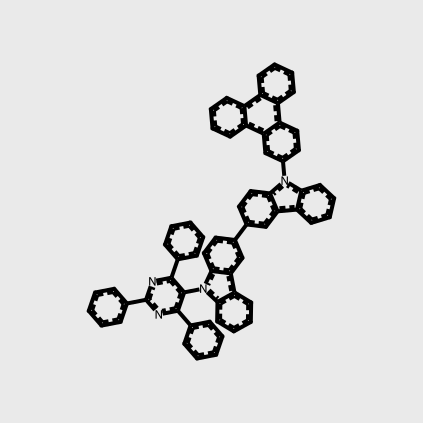 c1ccc(-c2nc(-c3ccccc3)c(-n3c4ccccc4c4cc(-c5ccc6c(c5)c5ccccc5n6-c5ccc6c7ccccc7c7ccccc7c6c5)ccc43)c(-c3ccccc3)n2)cc1